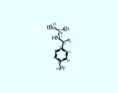 CC(C)c1ccc([C@H](C)N[S+]([O-])C(C)(C)C)cc1